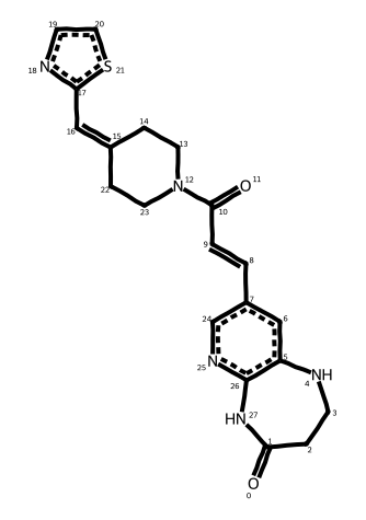 O=C1CCNc2cc(/C=C/C(=O)N3CCC(=Cc4nccs4)CC3)cnc2N1